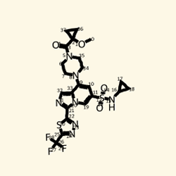 COC1(C(=O)N2CCN(c3cc(S(=O)(=O)NC4CC4)cn4c(-c5nnc(C(F)(F)F)s5)ncc34)CC2)CC1